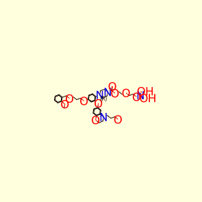 COCCCN1CCOc2ccc(OC[C@H]3CN(C(=O)OCCOCCON(O)O)CCN3c3ccc(OCCCOCc4ccccc4OC)cc3)cc21